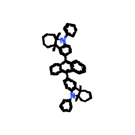 CC12CCCCCC1(C)N(c1ccccc1)c1ccc(-c3c4ccccc4c(-c4ccc5c(c4)C4(C)CCCCCC4(C)N5c4ccccc4)c4ccccc34)cc12